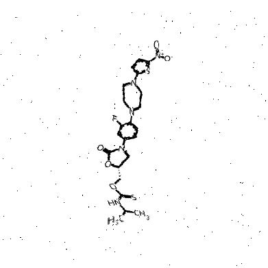 CC(C)NC(=S)OC[C@H]1CN(c2ccc(N3CCN(c4ccc([N+](=O)[O-])s4)CC3)c(F)c2)C(=O)O1